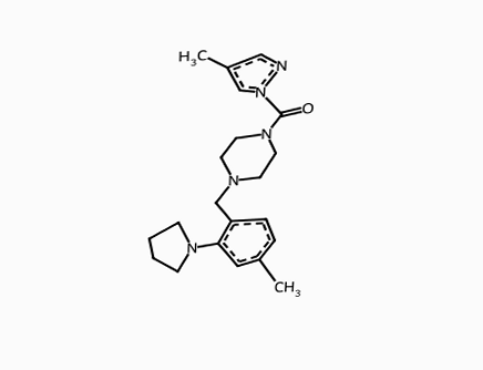 Cc1ccc(CN2CCN(C(=O)n3cc(C)cn3)CC2)c(N2CCCC2)c1